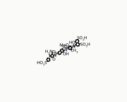 COc1cc(/N=N/c2ccc(S(=O)(=O)O)c3cc(S(=O)(=O)O)cc(O)c23)c(C)cc1/N=N/c1c(S(=O)(=O)O)cc2cc(/N=N/C3C(=O)N(c4ccc(S(=O)(=O)O)cc4)N=C3C(N)=O)ccc2c1O